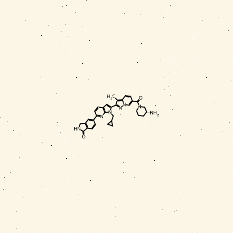 Cc1c(-c2cc3ccc(-c4ccc5c(c4)CNC5=O)nc3n2CC2CC2)nn2cc(C(=O)N3CCC[C@@H](N)C3)ccc12